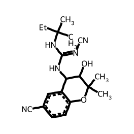 CCC(C)(C)NC(=NC#N)NC1c2cc(C#N)ccc2OC(C)(C)C1O